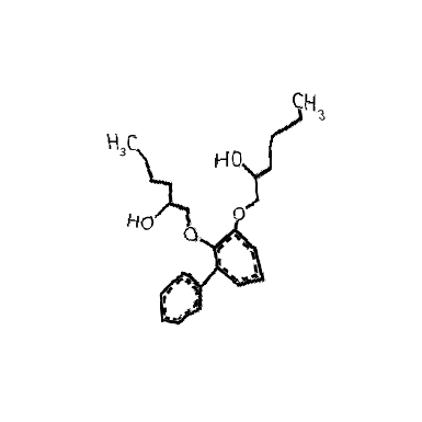 CCCCC(O)COc1cccc(-c2ccccc2)c1OCC(O)CCCC